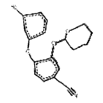 N#Cc1ccc(Oc2cccc(O)c2)c(OC2CCCCO2)c1